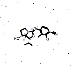 Cc1c(/N=C2\O[C@H](C(C)C)[C@@H]3[C@H](O)CCN23)ccc(C#N)c1Cl